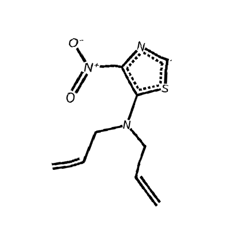 C=CCN(CC=C)c1s[c]nc1[N+](=O)[O-]